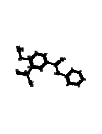 O=C(Oc1ccccc1)c1ccc(CO)c([N+](=O)[O-])c1